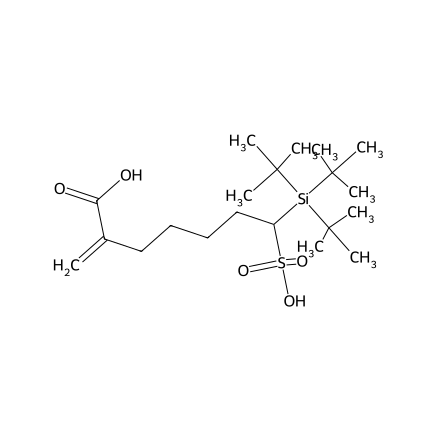 C=C(CCCCC([Si](C(C)(C)C)(C(C)(C)C)C(C)(C)C)S(=O)(=O)O)C(=O)O